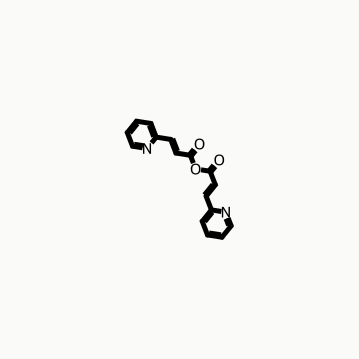 O=C(/C=C/c1ccccn1)OC(=O)/C=C/c1ccccn1